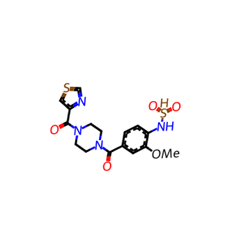 COc1cc(C(=O)N2CCN(C(=O)c3cscn3)CC2)ccc1N[SH](=O)=O